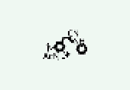 CC(=O)N(C)c1c(N(C)C)cc(CC(C#N)=CNc2ccccc2)cc1N(C)C